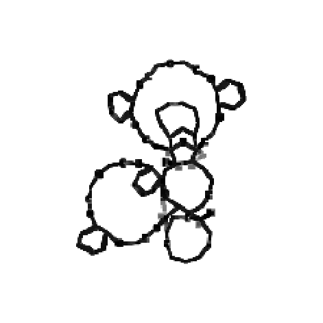 C[C@]12CCCCC3C(CCC[C@@H]1[C@@]14CCOc5ccccc5OCCOCCOc5ccccc5OCC[C@@]2(O1)C1CCCCCCC4C1)[C@@]1(COc2ccccc2OCCOCCOc2ccccc2OCCO1)C1CCCCCC[C@@H]3CC1